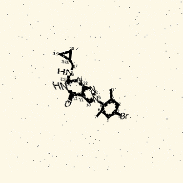 Cc1cc(Br)cc(C)c1-n1cc2c(=O)[nH]c(NCC3CC3)nc2n1